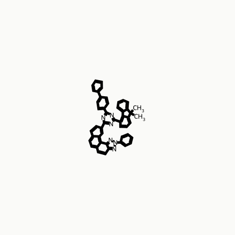 CC1(C)c2ccccc2-c2c(-c3nc(-c4ccc(-c5ccccc5)cc4)nc(-c4ccc5ccc6ccc7nn(-c8ccccc8)nc7c6c5c4)n3)cccc21